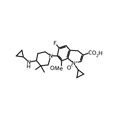 COc1c(N2CCC(NC3CC3)C(C)(C)C2)c(F)cc2c1[N+]([O-])(C1CC1)C=C(C(=O)O)C2